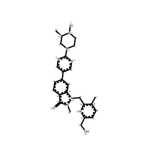 CC(=O)N1CCN(c2ncc(-c3ccc4c(=O)n(C)n(Cc5nc(CO)ccc5C)c4c3)cn2)C[C@H]1C